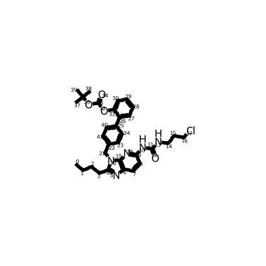 CCCCc1nc2ccc(NC(=O)NCCCCl)nc2n1Cc1ccc(-c2ccccc2OC(=O)OC(C)(C)C)cc1